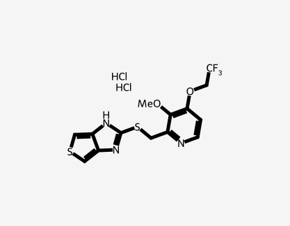 COc1c(OCC(F)(F)F)ccnc1CSc1nc2cscc2[nH]1.Cl.Cl